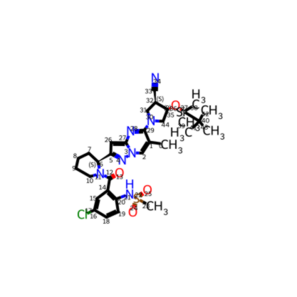 Cc1cn2nc([C@@H]3CCCCN3C(=O)c3cc(Cl)ccc3NS(C)(=O)=O)cc2nc1N1C[C@@H](C#N)[C@@H](O[Si](C)(C)C(C)(C)C)C1